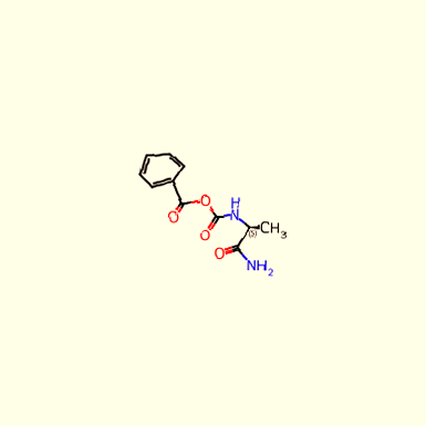 C[C@H](NC(=O)OC(=O)c1ccccc1)C(N)=O